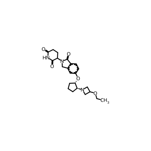 CCOC1CN([C@H]2CCC[C@@H]2Oc2ccc3c(c2)CN(C2CCC(=O)NC2=O)C3=O)C1